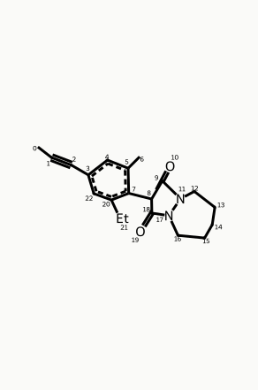 CC#Cc1cc(C)c(C2C(=O)N3CCCCCN3C2=O)c(CC)c1